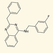 Fc1cccc(CNc2nc(Cc3ccccc3)nc3ccccc23)c1